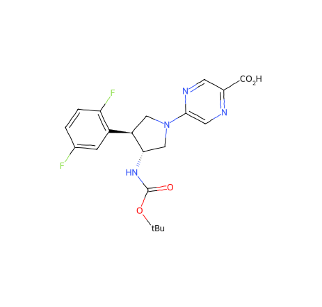 CC(C)(C)OC(=O)N[C@H]1CN(c2cnc(C(=O)O)cn2)C[C@@H]1c1cc(F)ccc1F